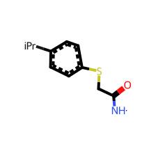 CC(C)c1ccc(SCC([NH])=O)cc1